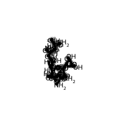 CCCN(CC(=O)N[C@@H](CCc1ccc(O)cc1)C(=O)N[C@H](C(=O)N[C@@H](CC(C)C)C(=O)N[C@@H](CC(C)C)C(=O)N[C@@H](CCCCN)C(=O)NC(CCCCNC(=O)CN1CCN(CC(=O)O)CCN(CC(=O)O)CC1)C(N)=O)C(C)O)C(=O)[C@H](CO)NC(=O)CNC(=O)[C@H](CCC(N)=O)NC(=O)CNC(=O)[C@H](CCC(N)=O)NC(=O)CNC(C)=O